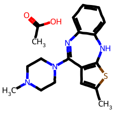 CC(=O)O.Cc1cc2c(s1)Nc1ccccc1N=C2N1CCN(C)CC1